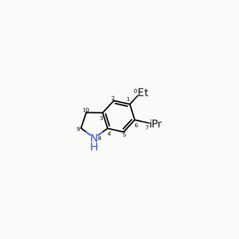 CCc1cc2c(cc1C(C)C)NCC2